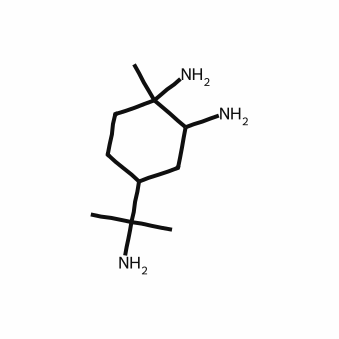 CC(C)(N)C1CCC(C)(N)C(N)C1